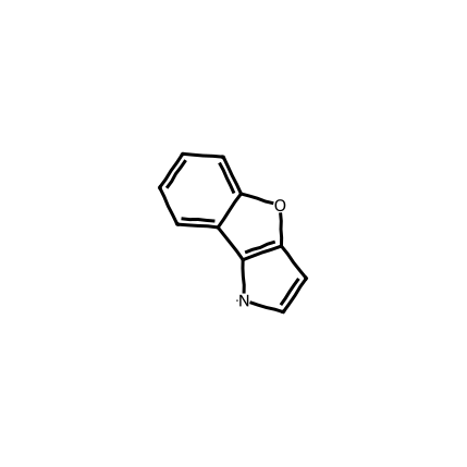 C1=Cc2oc3ccccc3c2[N]1